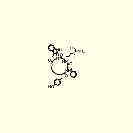 N=C(N)NCCC[C@@H]1NC(=O)[C@@H](Cc2ccccc2)NC(=O)[C@H](Cc2ccc(O)cc2)CCCCOC(=O)[C@H](Cc2c[nH]c3ccccc23)NC1=O